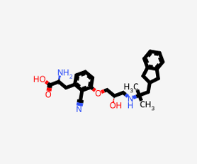 CC(C)(CC1Cc2ccccc2C1)NC[C@H](O)COc1cccc(C[C@H](N)C(=O)O)c1C#N